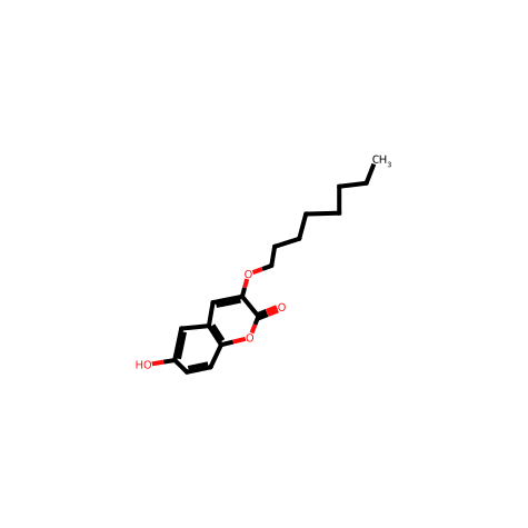 CCCCCCCCOc1cc2cc(O)ccc2oc1=O